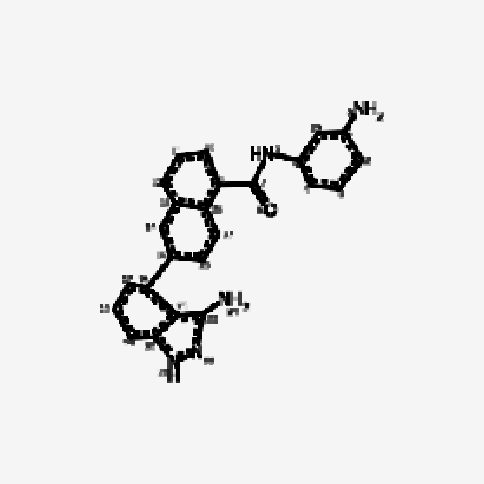 Nc1cccc(NC(=O)c2cccc3cc(-c4cccc5[nH]nc(N)c45)ccc23)c1